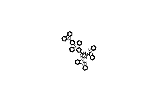 c1ccc([Si](c2ccccc2)(c2ccc(-c3nc(-n4c5ccccc5n5c6ccccc6nc45)nc(-n4c5ccccc5n5c6ccccc6nc45)n3)cc2)c2ccc(-n3c4ccccc4c4ccccc43)cc2)cc1